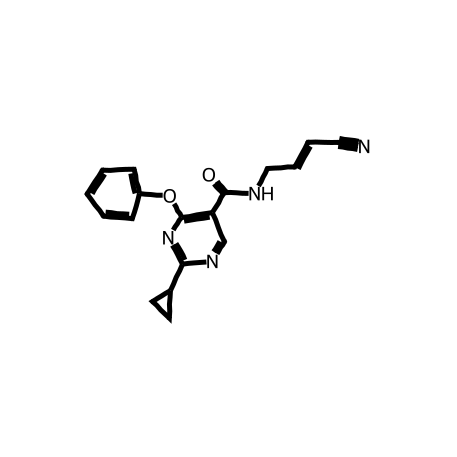 N#CC=CCNC(=O)c1cnc(C2CC2)nc1Oc1ccccc1